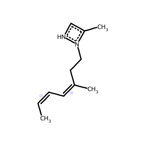 C/C=C\C=C(\C)CCn1[nH]cc1C